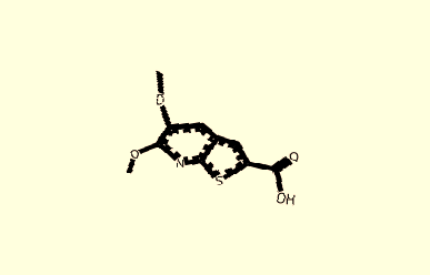 COc1cc2cc(C(=O)O)sc2nc1OC